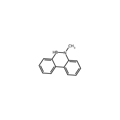 CN1Bc2ccccc2-c2ccccc21